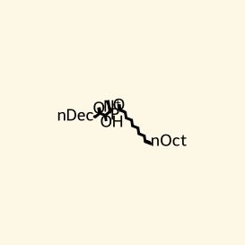 CCCCCCCC/C=C\CCCCCCCC(=O)[P-]C(C(O)C(=O)CCCCCCCCCCC)[N+](C)(C)C